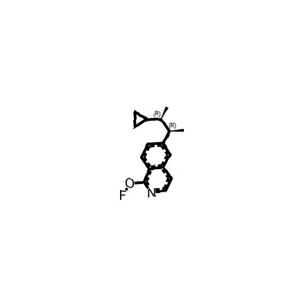 C[C@H](C1CC1)[C@@H](C)c1ccc2c(OF)nccc2c1